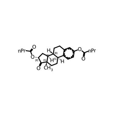 CCCC(=O)Oc1ccc2c(c1)CC[C@@H]1[C@@H]2CC[C@]2(C)C(=O)[C@H](OC(=O)CCC)C[C@@H]12